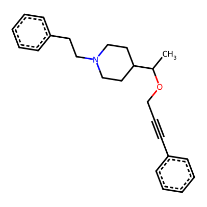 CC(OCC#Cc1ccccc1)C1CCN(CCc2ccccc2)CC1